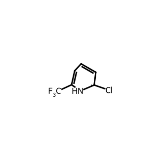 FC(F)(F)C1=CC=C[C](Cl)N1